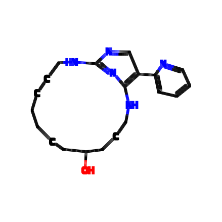 OC1CCCCCCCNc2ncc(-c3ccccn3)c(n2)NCCC1